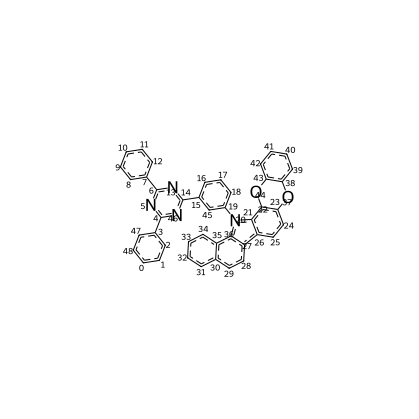 c1ccc(-c2nc(-c3ccccc3)nc(-c3cccc(-n4c5c6c(ccc5c5ccc7ccccc7c54)Oc4ccccc4O6)c3)n2)cc1